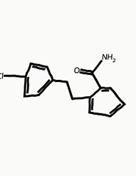 NC(=O)c1ccccc1CCc1ccc(Cl)cc1